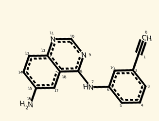 C#Cc1cccc(Nc2ncnc3ccc(N)cc23)c1